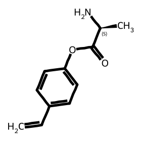 C=Cc1ccc(OC(=O)[C@H](C)N)cc1